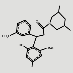 COc1cc(C)cc(O)c1C(CC(=O)N1CC(C)CC(C)C1)c1cccc(C(=O)O)c1